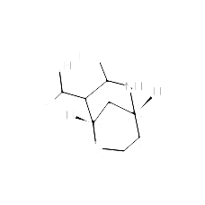 CC(C)C1C(C)N[C@H]2C[C@@H]1OC[C@H]2O